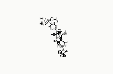 CC(C)(C)c1ccc(C(=O)Nc2cn3nc(-c4cnco4)ccc3n2)cc1.Cl.Cl